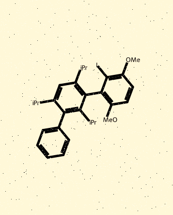 COc1ccc(OC)c(-c2c(C(C)C)cc(C(C)C)c(-c3ccccc3)c2C(C)C)c1I